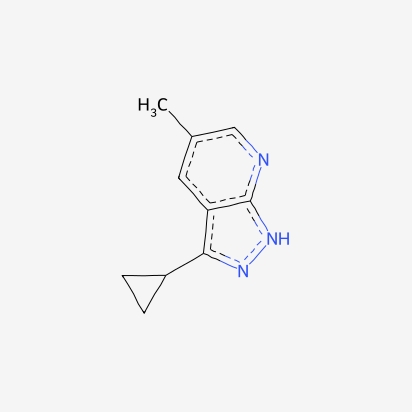 Cc1cnc2[nH]nc(C3CC3)c2c1